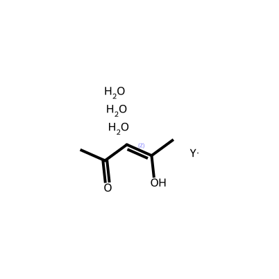 CC(=O)/C=C(/C)O.O.O.O.[Y]